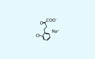 O=C([O-])C(=O)CCc1ccccc1Cl.[Na+]